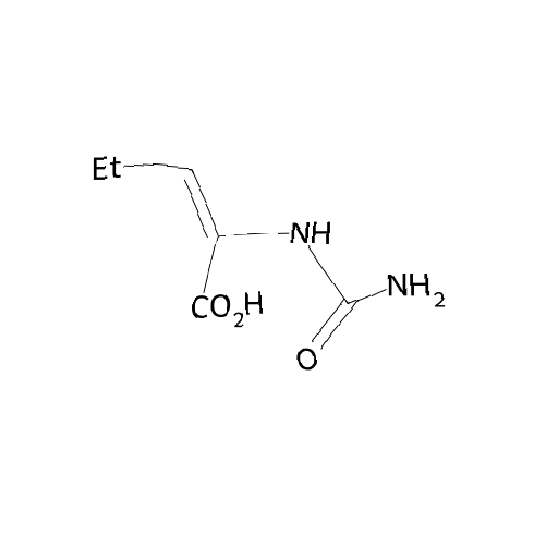 CC/C=C(/NC(N)=O)C(=O)O